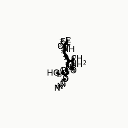 C=C1NC(=O)N([C@H]2C[C@@H](OCN=[N+]=[N-])[C@@H](CO)O2)C=C1C#CCNC(=O)C(F)(F)F